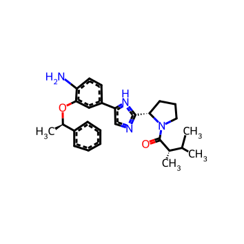 CC(C)[C@H](C)C(=O)N1CCC[C@H]1c1ncc(-c2ccc(N)c(O[C@H](C)c3ccccc3)c2)[nH]1